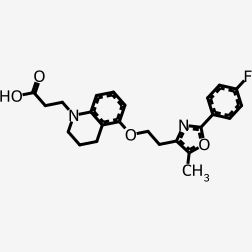 Cc1oc(-c2ccc(F)cc2)nc1CCOc1cccc2c1CCCN2CCC(=O)O